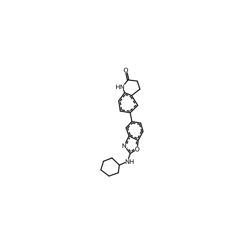 O=C1CCc2cc(-c3ccc4oc(NC5CCCCC5)nc4c3)ccc2N1